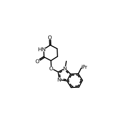 CC(C)c1cccc2nc(OC3CCC(=O)NC3=O)n(C)c12